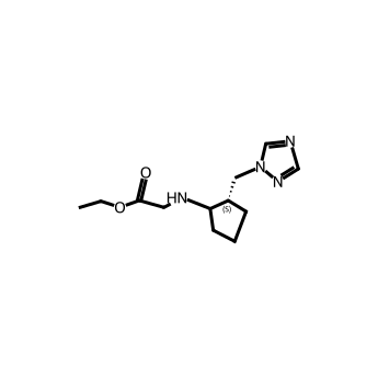 CCOC(=O)CNC1CCC[C@H]1Cn1cncn1